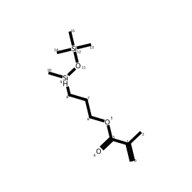 C=C(C)C(=O)OCCC[SiH](C)O[Si](C)(C)C